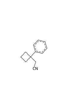 N#CCC1(c2ccccc2)CCC1